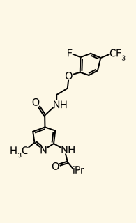 Cc1cc(C(=O)NCCOc2ccc(C(F)(F)F)cc2F)cc(NC(=O)C(C)C)n1